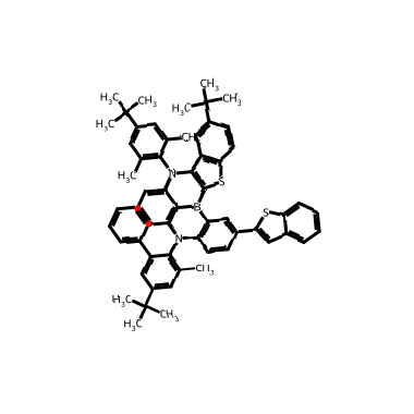 Cc1cc(C(C)(C)C)cc(C)c1N1c2cccc3c2B(c2cc(-c4cc5ccccc5s4)ccc2N3c2c(C)cc(C(C)(C)C)cc2-c2ccccc2)c2sc3ccc(C(C)(C)C)cc3c21